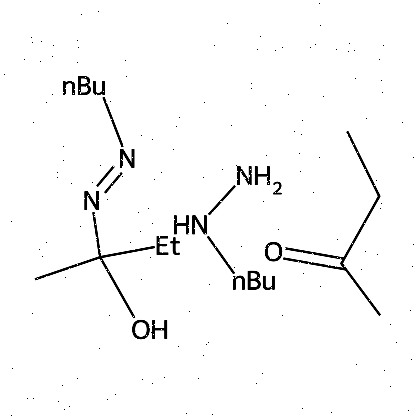 CCC(C)=O.CCCC/N=N/C(C)(O)CC.CCCCNN